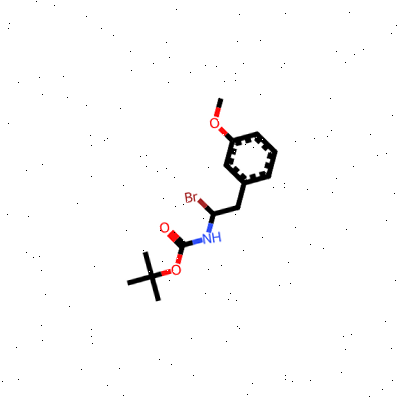 COc1cccc(CC(Br)NC(=O)OC(C)(C)C)c1